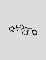 CC(C)(c1ccccn1)N1CC[C@](COCc2ccccc2)([C@H]2CCCO2)C1